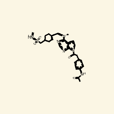 CNS(=O)(=O)CC1CCC(/C=[N+](/C)c2ncnc3c2ccn3C(=O)Cc2ccc(NC(C)=O)cc2)CC1